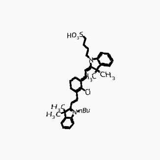 CCCC[N+]1=C(/C=C/C2=C(Cl)C(=C/C=C3/N(CCCCS(=O)(=O)O)c4ccccc4C3(C)C)/CCC2)C(C)(C)c2ccccc21